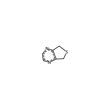 c1cnc2c(n1)CSC2